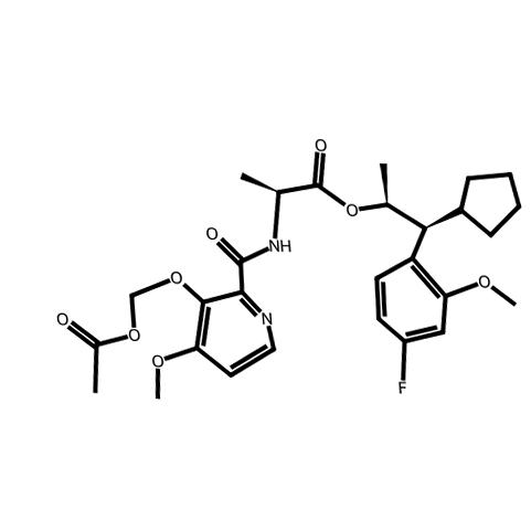 COc1cc(F)ccc1[C@H](C1CCCC1)[C@H](C)OC(=O)[C@H](C)NC(=O)c1nccc(OC)c1OCOC(C)=O